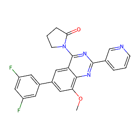 COc1cc(-c2cc(F)cc(F)c2)cc2c(N3CCCC3=O)nc(-c3cccnc3)nc12